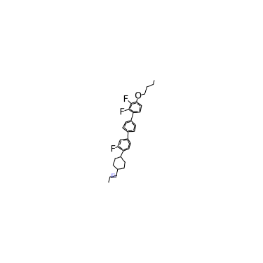 C/C=C/C1CCC(c2ccc(-c3ccc(-c4ccc(OCCCC)c(F)c4F)cc3)cc2F)CC1